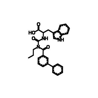 CCCN(C(=O)NC(Cc1c[nH]c2ccccc12)C(=O)O)C(=O)c1cccc(-c2ccccc2)c1